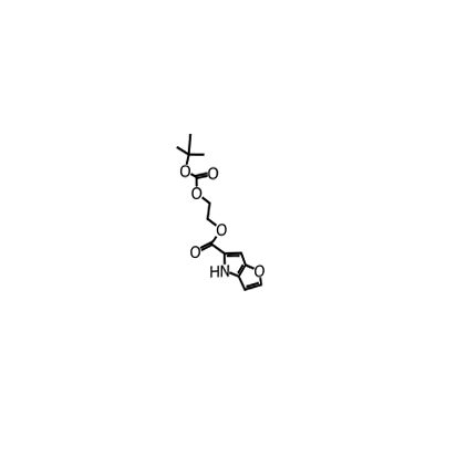 CC(C)(C)OC(=O)OCCOC(=O)c1cc2occc2[nH]1